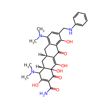 CN(C)c1cc(CNc2ccccc2)c(O)c2c1C[C@H]1C[C@H]3C(N(C)C)C(O)=C(C(N)=O)C(=O)C3(O)C(O)=C1C2=O